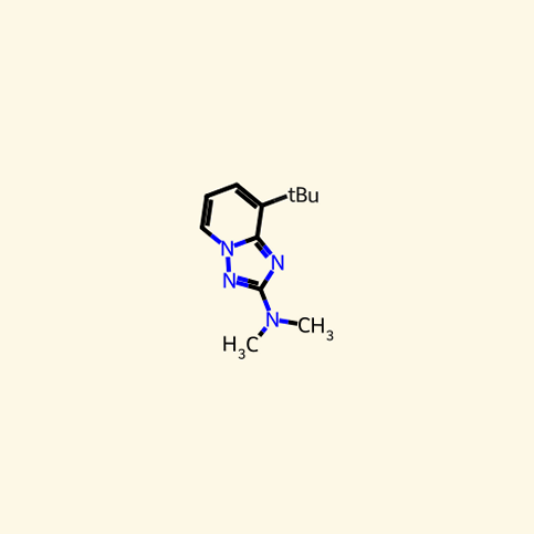 CN(C)c1nc2c(C(C)(C)C)cccn2n1